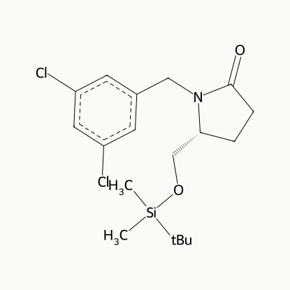 CC(C)(C)[Si](C)(C)OC[C@H]1CCC(=O)N1Cc1cc(Cl)cc(Cl)c1